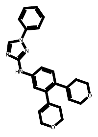 C1=C(c2ccc(Nc3ncn(-c4ccccc4)n3)cc2C2=CCOCC2)CCOC1